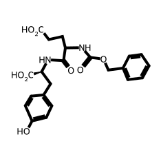 O=C(O)CCC(NC(=O)OCc1ccccc1)C(=O)N[C@@H](Cc1ccc(O)cc1)C(=O)O